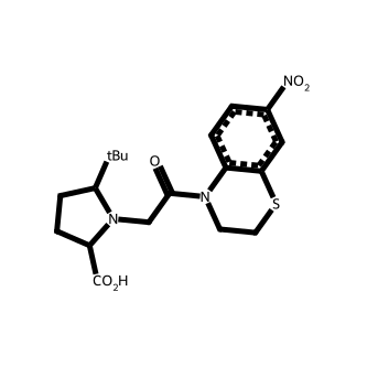 CC(C)(C)C1CCC(C(=O)O)N1CC(=O)N1CCSc2cc([N+](=O)[O-])ccc21